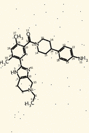 CCN1CCc2[nH]c(-c3cc(C(=O)N4CCC(c5ccc(N)cc5)CC4)c(C)cc3C)nc2C1